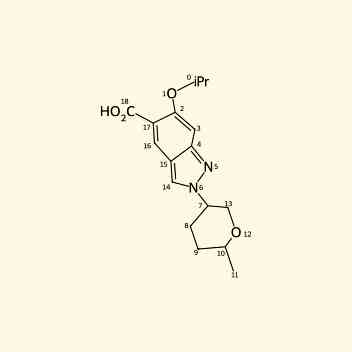 CC(C)Oc1cc2nn(C3CCC(C)OC3)cc2cc1C(=O)O